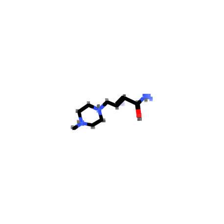 CN1CCN(C/C=C/C(N)=O)CC1